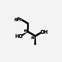 CCCC[C@@H](O)[C@H](C)O